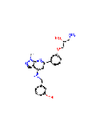 CC(C)n1ncc2c(NCc3cccc(O)c3)cc(-c3cccc(OCC(O)CN)c3)nc21